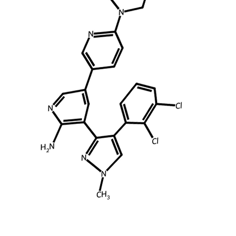 Cn1cc(-c2cccc(Cl)c2Cl)c(-c2cc(-c3ccc(N4CCCC4)nc3)cnc2N)n1